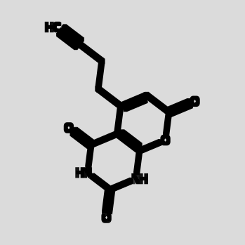 C#CCCc1cc(=O)oc2[nH]c(=O)[nH]c(=O)c12